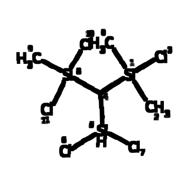 C[Si](C)(Cl)C([SiH](Cl)Cl)[Si](C)(Cl)Cl